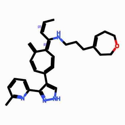 C=C1C=CC(c2c[nH]nc2-c2cccc(C)n2)=C=C/C1=C(/C=C\C)NCCCC1=CCCOCC1